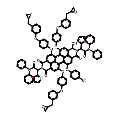 CCc1ccc(Oc2cc3c4c(cc(Oc5ccc(Oc6cccc(CC7CO7)c6)cc5)c5c6c(Oc7ccc(Oc8cccc(CC9CO9)c8)cc7)cc7c8c(cc(Oc9ccc(Oc%10cccc(CC%11CO%11)c%10)cc9)c(c2c45)c86)C(=O)N(C(C(=O)N(c2ccccc2)c2ccccc2)c2ccco2)C7=O)C(O)N(C(C(=O)N(c2ccccc2)c2ccccc2)c2ccco2)C3=O)cc1